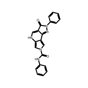 O=C(Nc1ccccc1)n1cc2[nH]cc3c(=O)n(-c4ccccc4)nc-3c2c1